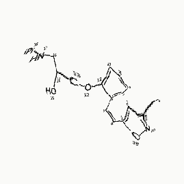 Cc1cc(/C=C\c2ccccc2OCC(O)CNC(C)C)on1